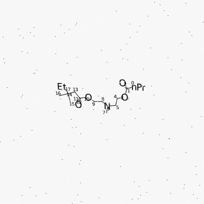 CCCC(=O)OCCN(C)CCOC(=O)CC(C)(C)CC